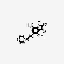 Cc1cc(OCCN2CCOCC2)c(C)c2c1NC(=O)C2=O